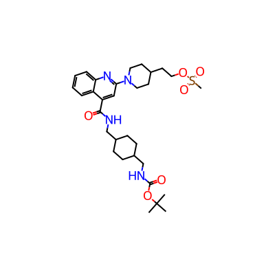 CC(C)(C)OC(=O)NCC1CCC(CNC(=O)c2cc(N3CCC(CCOS(C)(=O)=O)CC3)nc3ccccc23)CC1